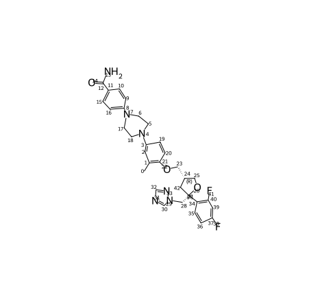 Cc1cc(N2CCN(c3ccc(C(N)=O)cc3)CC2)ccc1OC[C@@H]1CO[C@@](Cn2cncn2)(c2ccc(F)cc2F)C1